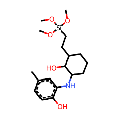 CO[Si](CCC1CCCC(Nc2cc(C)ccc2O)C1O)(OC)OC